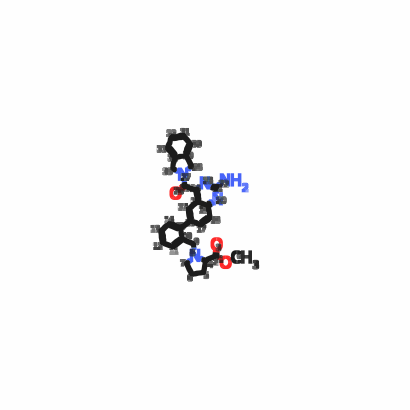 COC(=O)C1CCCN1Cc1ccccc1-c1ccc2nc(N)nc(C(=O)N3Cc4ccccc4C3)c2c1